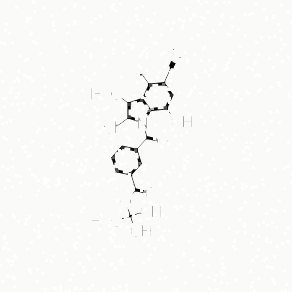 Cc1c(Cl)n(C(=O)c2cccc(C(=O)OC(C)(C)C)c2)c2c(C)cc(C#N)c(Cl)c12